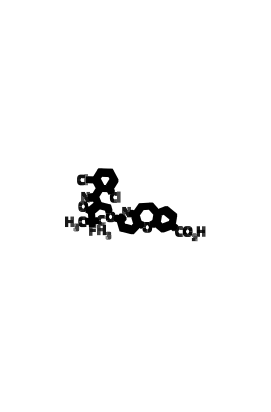 CC(C)(F)c1onc(-c2c(Cl)cccc2Cl)c1COc1ccc2c(n1)CCc1ccc(C(=O)O)cc1O2